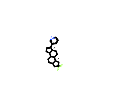 C[C@]12CC(F)(F)CC1CCC1C2CC[C@]2(C)C(c3cccnc3)=CCC12